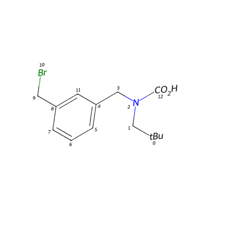 CC(C)(C)CN(Cc1cccc(CBr)c1)C(=O)O